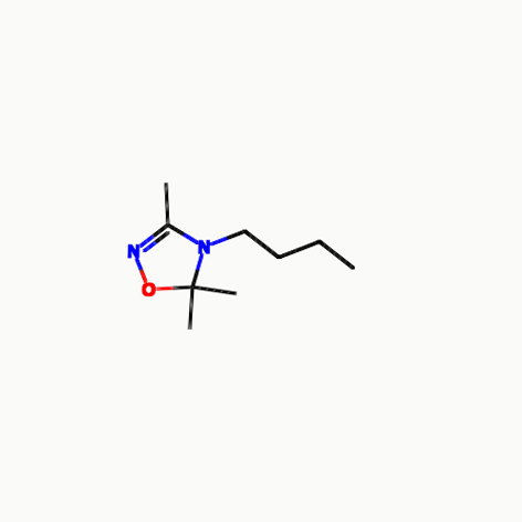 CCCCN1C(C)=NOC1(C)C